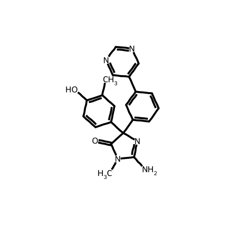 Cc1cc(C2(c3cccc(-c4cncnc4)c3)N=C(N)N(C)C2=O)ccc1O